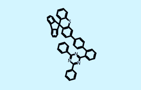 c1ccc(-c2nc(-c3ccccc3)nc(-c3ccccc3-c3ccc(-c4ccc5c(c4)Sc4ccccc4C54c5ccccc5-c5ccccc54)cc3)n2)cc1